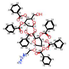 [N-]=[N+]=NCCO[C@@H]1OC(CO[C@@H]2OC(CO)[C@@H](OC(=O)c3ccccc3)[C@H](OC(=O)c3ccccc3)[C@H]2OC(=O)c2ccccc2)[C@@H](OC(=O)c2ccccc2)[C@H](OC(=O)c2ccccc2)[C@H]1OC(=O)c1ccccc1